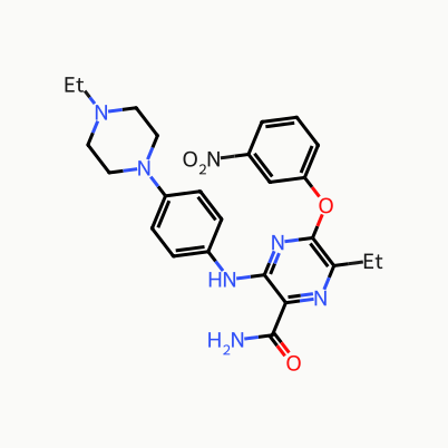 CCc1nc(C(N)=O)c(Nc2ccc(N3CCN(CC)CC3)cc2)nc1Oc1cccc([N+](=O)[O-])c1